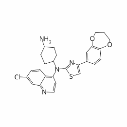 NC1CCC(N(c2nc(-c3ccc4c(c3)OCCCO4)cs2)c2ccnc3cc(Cl)ccc23)CC1